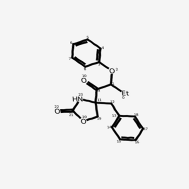 CCC(Oc1ccccc1)C(=O)C1(Cc2ccccc2)COC(=O)N1